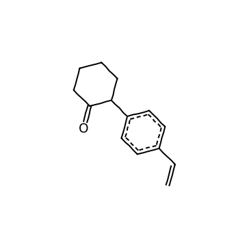 C=Cc1ccc(C2CCCCC2=O)cc1